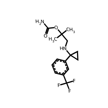 CC(C)(CNC1(c2cccc(C(F)(F)F)c2)CC1)OC(N)=O